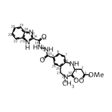 COC(=O)CC1Nc2ccc(C(=O)NNC(=O)c3nc4ccccc4[nH]3)cc2CN(C)C1=O